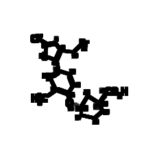 Cc1nc(-c2sc(Cl)cc2CBr)ccc1O[C@H]1CCC[C@H](C(=O)O)C1